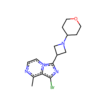 Cc1nccn2c(C3CN(C4CCOCC4)C3)nc(Br)c12